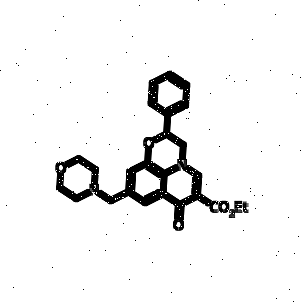 CCOC(=O)c1cn2c3c(cc(CN4CCOCC4)cc3c1=O)OC(c1ccccc1)C2